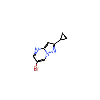 Brc1cnc2cc(C3CC3)nn2c1